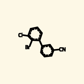 N#Cc1cccc(-c2cccc(Cl)c2Br)c1